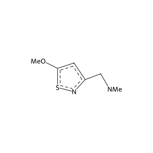 CNCc1cc(OC)sn1